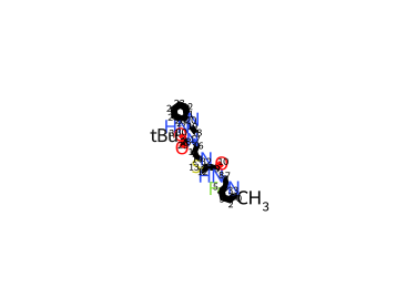 Cc1ccc(F)c(CNC(=O)c2csc(CCN(Cc3nc4ccccc4[nH]3)C(=O)OC(C)(C)C)n2)n1